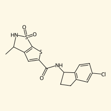 CC1NS(=O)(=O)c2sc(C(=O)NC3CCc4cc(Cl)ccc43)cc21